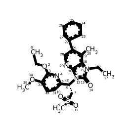 CCOc1nc([C@@H](CS(C)(=O)=O)n2c(=O)n(CC)c3c(C)c(-c4ccccc4)cnc32)ccc1OC